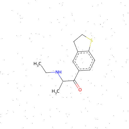 CCNC(C)C(=O)c1ccc2c(c1)CCS2